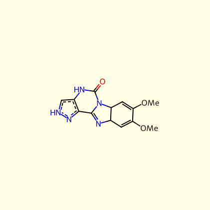 COC1=CC2N=C3c4n[nH]cc4NC(=O)N3C2C=C1OC